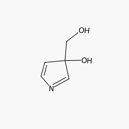 OCC1(O)C=CN=C1